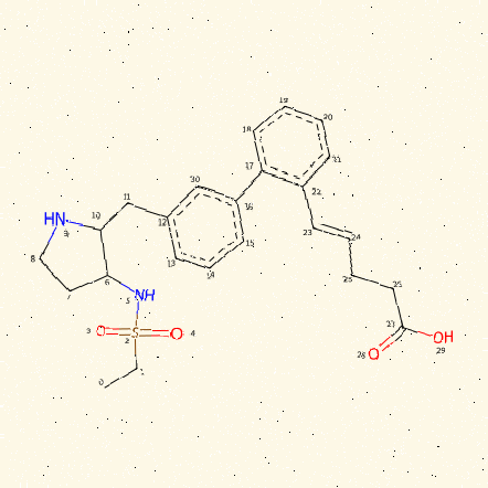 CCS(=O)(=O)NC1CCNC1Cc1cccc(-c2ccccc2C=CCCC(=O)O)c1